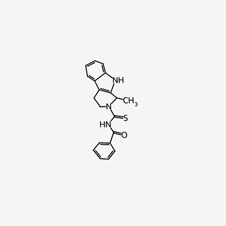 CC1c2[nH]c3ccccc3c2CCN1C(=S)NC(=O)c1ccccc1